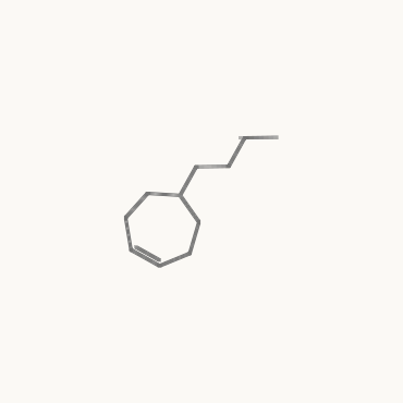 C[CH]CCC1CCC=CCC1